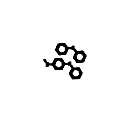 CSc1ccc(Sc2ccccc2)cc1.c1ccc(Sc2ccccc2)cc1